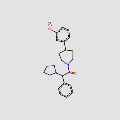 O=C(C(c1ccccc1)N1CCCC1)N1CCC(c2cccc(OC(F)(F)F)c2)CC1